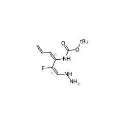 C=C/C=C(NC(=O)OC(C)(C)C)\C(F)=C/NN